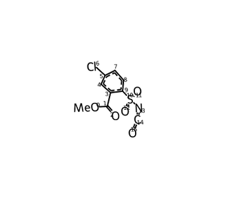 COC(=O)c1cc(Cl)ccc1S(=O)(=O)N=C=O